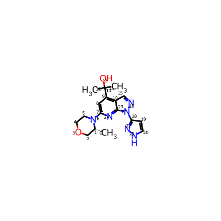 C[C@@H]1COCCN1c1cc(C(C)(C)O)c2cnn(-c3cc[nH]n3)c2n1